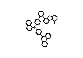 CC1CC=CC2=C1c1cccc(-c3ccccc3-c3ccc(N(c4ccc(-c5cc6ccccc6c6ccccc56)cc4)c4cccc5ccccc45)cc3)c1C2